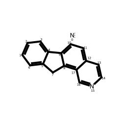 [N].c1ccc2c(c1)Cc1c-2ccc2ccncc12